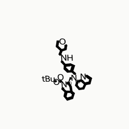 CC(C)(C)OC(=O)N1Cc2ccccc2C[C@@H]1CN(Cc1ccc(CNCC2CCOCC2)cc1)[C@H]1CCCc2cccnc21